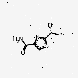 CC[C@@H](c1nc(C(N)=O)co1)C(C)C